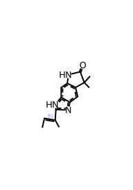 C/C=C(\C)c1nc2cc3c(cc2[nH]1)NC(=O)C3(C)C